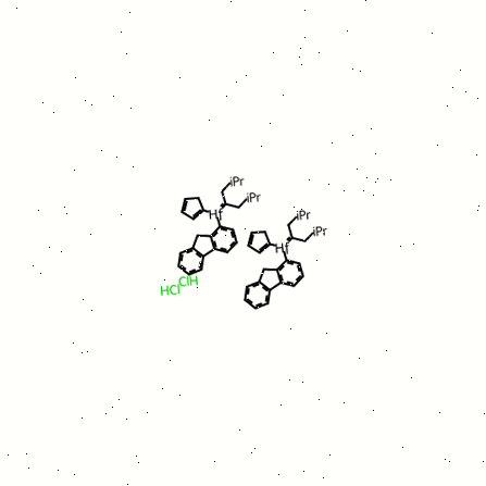 CC(C)C[C](CC(C)C)=[Hf]([C]1=CC=CC1)[c]1cccc2c1Cc1ccccc1-2.CC(C)C[C](CC(C)C)=[Hf]([C]1=CC=CC1)[c]1cccc2c1Cc1ccccc1-2.Cl.Cl